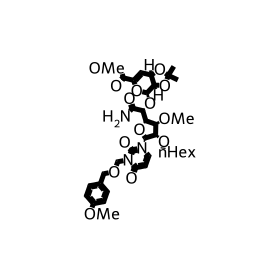 CCCCCCO[C@@H]1[C@H](OC)[C@@H]([C@@H](O[C@H]2OC(C(=O)OC)=C[C@@H]3OC(C)(C)O[C@H]23)C(N)=O)O[C@H]1n1ccc(=O)n(COCc2ccc(OC)cc2)c1=O